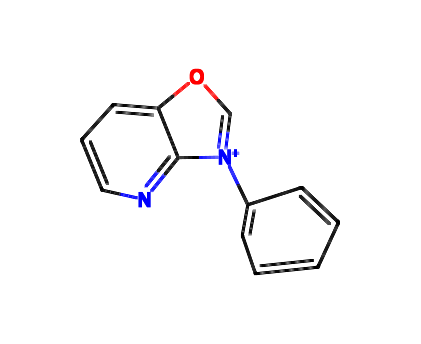 c1ccc(-[n+]2coc3cccnc32)cc1